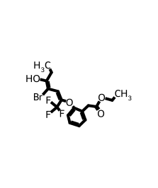 CCOC(=O)Cc1ccccc1O/C(=C/C(Br)=C(/O)CC)C(F)(F)F